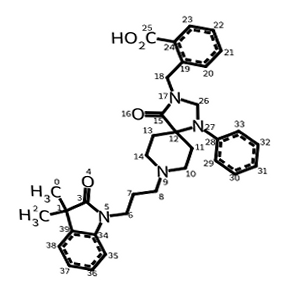 CC1(C)C(=O)N(CCCN2CCC3(CC2)C(=O)N(Cc2ccccc2C(=O)O)CN3c2ccccc2)c2ccccc21